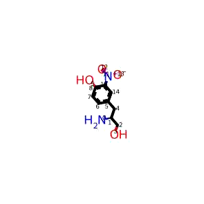 N[C@H](CO)Cc1ccc(O)c([N+](=O)[O-])c1